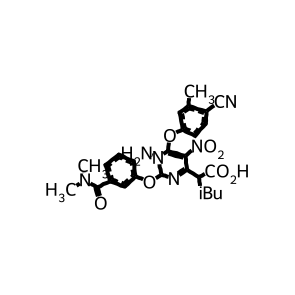 CCC(C)C(C(=O)O)C1=NC(Oc2cccc(C(=O)N(C)C)c2)N(N)C(Oc2ccc(C#N)c(C)c2)=C1[N+](=O)[O-]